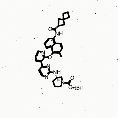 Cc1ccc2c(NC(=O)C3CC4(CCC4)C3)cccc2c1Oc1ncccc1-c1ccnc(N[C@H]2CCCN(C(=O)OC(C)(C)C)C2)n1